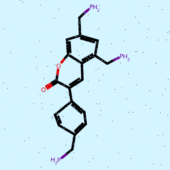 O=c1oc2cc(CP)cc(CP)c2cc1-c1ccc(CP)cc1